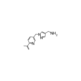 C=C(C)c1ccc(Cn2cc(CN)cn2)cn1